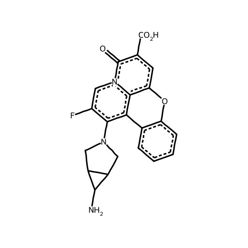 NC1C2CN(c3c(F)cn4c(=O)c(C(=O)O)cc5c4c3-c3ccccc3O5)CC12